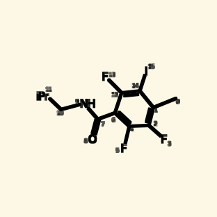 Cc1c(F)c(F)c(C(=O)NCC(C)C)c(F)c1I